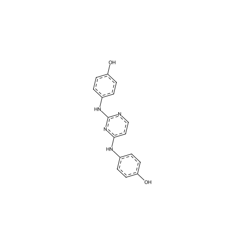 Oc1ccc(Nc2ccnc(Nc3ccc(O)cc3)n2)cc1